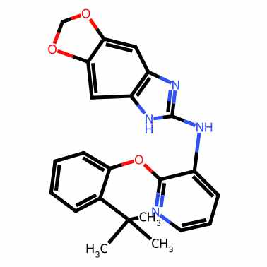 CC(C)(C)c1ccccc1Oc1ncccc1Nc1nc2cc3c(cc2[nH]1)OCO3